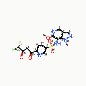 COc1ncc2cnn(C)c2c1NS(=O)(=O)c1ccc(C(=O)CC(=O)C(F)F)nc1